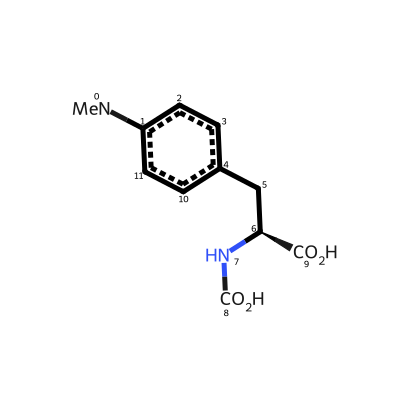 CNc1ccc(C[C@H](NC(=O)O)C(=O)O)cc1